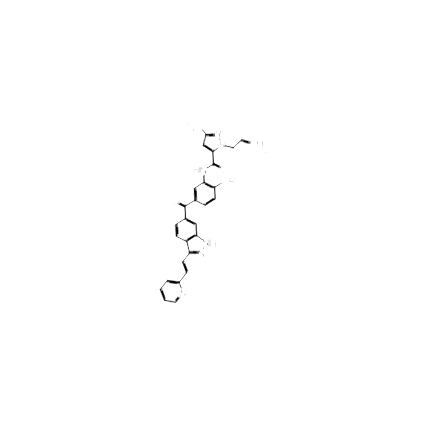 C=CCn1nc(C)cc1C(=O)Nc1cc(C(=O)c2ccc3c(/C=C/c4ccccn4)n[nH]c3c2)ccc1C